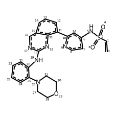 C=CS(=O)(=O)Nc1ccnc(-c2cccc3cnc(Nc4ccccc4N4CCOCC4)nc23)c1